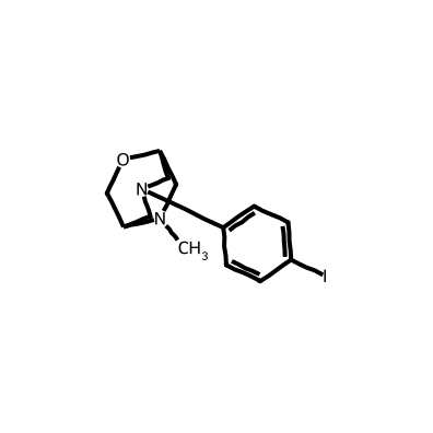 CN1CC2CN(c3ccc(I)cc3)CC1CO2